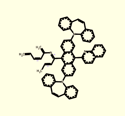 C=C/C=C\C(=C)/N=C(\C=C\C)c1c2cc(N3c4ccccc4C=Cc4ccccc43)ccc2c(-c2ccc3ccccc3n2)c2cc(N3c4ccccc4C=Cc4ccccc43)ccc12